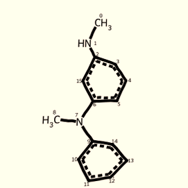 CNc1cccc(N(C)c2cc[c]cc2)c1